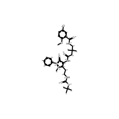 COc1ccc(Cl)cc1C(=O)NCC(C)(C)CC(=O)Nc1c(CCNC(=O)OC(C)(C)C)n(C)n(-c2ccccc2)c1=O